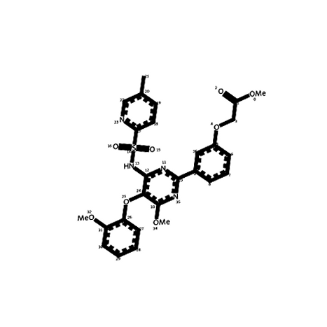 COC(=O)COc1cccc(-c2nc(NS(=O)(=O)c3ccc(C)cn3)c(Oc3ccccc3OC)c(OC)n2)c1